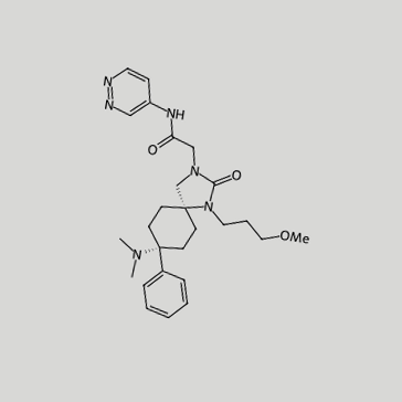 COCCCN1C(=O)N(CC(=O)Nc2ccnnc2)C[C@]12CC[C@@](c1ccccc1)(N(C)C)CC2